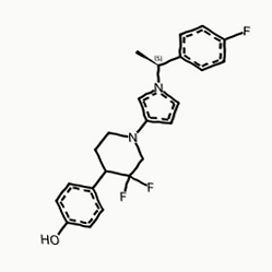 C[C@@H](c1ccc(F)cc1)n1ccc(N2CCC(c3ccc(O)cc3)C(F)(F)C2)c1